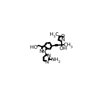 Cc1cc(C(C)(O)C#Cc2ccc3c(CO)nn(-c4ccnc(N)n4)c3c2)no1